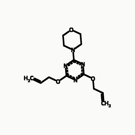 C=CCOc1nc(OCC=C)nc(N2CCOCC2)n1